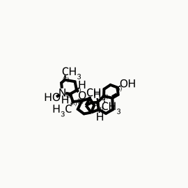 C[C@H]1C[C@H]2O[C@]3(CCC45CC3(C)C4C[C@H]3[C@H]5CCC4=C[C@@H](O)CC[C@@]43C)[C@H](C)[C@@H]2N(O)C1